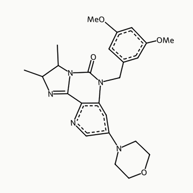 COc1cc(CN2C(=O)N3C(=NC(C)C3C)c3ncc(N4CCOCC4)cc32)cc(OC)c1